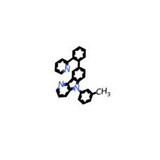 Cc1cccc(-n2c3ccc(-c4ccccc4-c4ccccn4)cc3c3ncccc32)c1